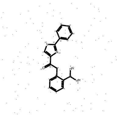 CCCC(CCC)c1ccccc1CC(=O)c1csc(-c2ccccc2)n1